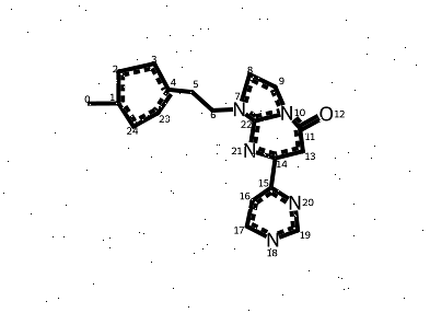 Cc1ccc(CCn2ccn3c(=O)cc(-c4ccncn4)nc23)cc1